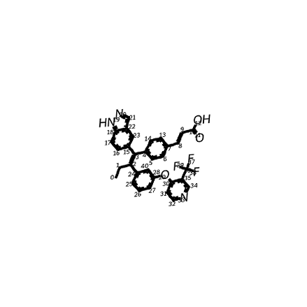 CC/C(=C(/c1ccc(/C=C/C(=O)O)cc1)c1ccc2[nH]ncc2c1)c1cccc(Oc2ccncc2C(F)(F)F)c1